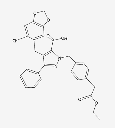 CCOC(=O)Cc1ccc(Cn2nc(-c3ccccc3)c(Cc3cc4c(cc3Cl)OCO4)c2C(=O)O)cc1